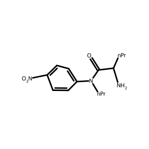 CCCC(N)C(=O)N(CCC)c1ccc([N+](=O)[O-])cc1